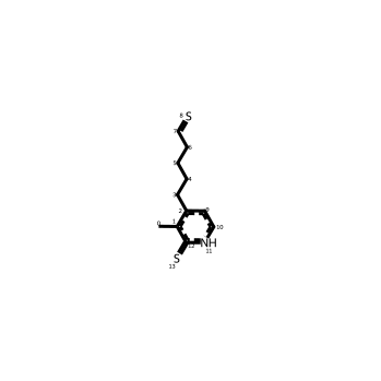 Cc1c(CCCCC=S)cc[nH]c1=S